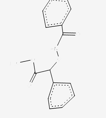 COC(=O)C(ONC(=O)c1ccccc1)c1ccccc1